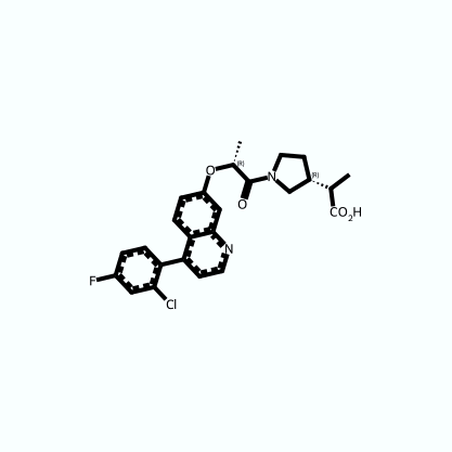 CC(C(=O)O)[C@H]1CCN(C(=O)[C@@H](C)Oc2ccc3c(-c4ccc(F)cc4Cl)ccnc3c2)C1